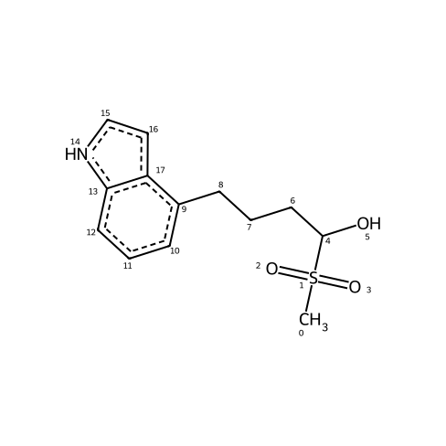 CS(=O)(=O)C(O)CCCc1cccc2[nH]ccc12